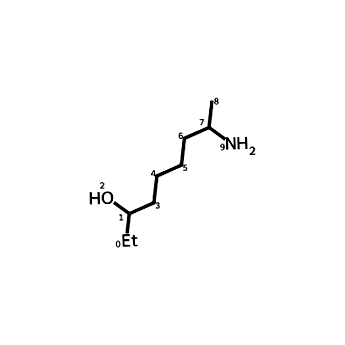 CCC(O)CCCCC(C)N